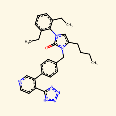 CCCCc1cn(-c2c(CC)cccc2CC)c(=O)n1Cc1ccc(-c2cnccc2-c2nnn[nH]2)cc1